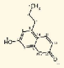 CCCc1cc(O)cc2oc(=O)ccc12